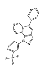 FC(F)(F)c1cccc(-n2ncc3cc(-c4cccnc4)c4cnccc4c32)c1